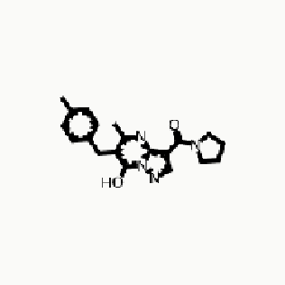 Cc1ccc(Cc2c(C)nc3c(C(=O)N4CCCC4)cnn3c2O)cc1